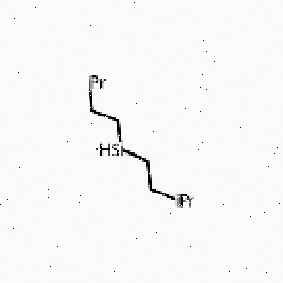 CC(C)CC[SiH]CCC(C)C